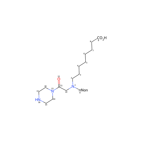 CCCCCCCCCN(CCCCCCCC(=O)O)CC(=O)N1CCNCC1